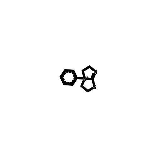 c1ccc([N+]23CCN=C2SCC3)cc1